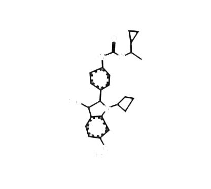 CCOc1ccc2c(c1)N(C1CCC1)C(c1ccc(NC(=O)OC(C)C3CC3)cc1)C2C(F)(F)F